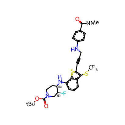 CNC(=O)c1ccc(NCC#Cc2sc3c(N[C@@H]4CCN(C(=O)OC(C)(C)C)C[C@@H]4F)cccc3c2SC(F)(F)F)cc1